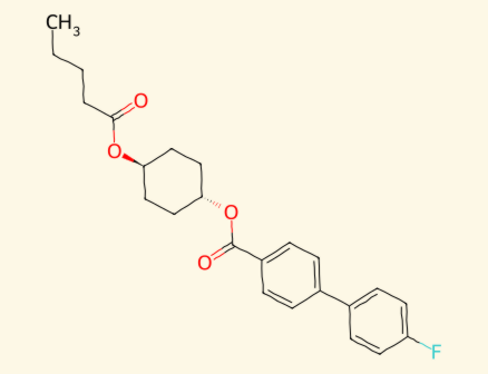 CCCCC(=O)O[C@H]1CC[C@H](OC(=O)c2ccc(-c3ccc(F)cc3)cc2)CC1